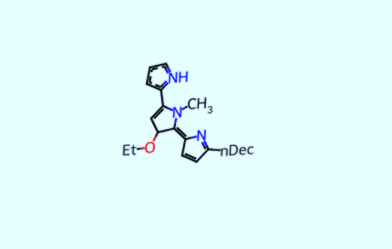 CCCCCCCCCCC1=NC(=C2C(OCC)C=C(c3ccc[nH]3)N2C)C=C1